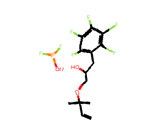 C=CC(C)(C)OCC(O)Cc1c(F)c(F)c(F)c(F)c1F.OP(F)F